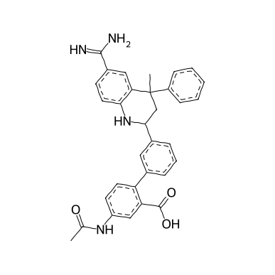 CC(=O)Nc1ccc(-c2cccc(C3CC(C)(c4ccccc4)c4cc(C(=N)N)ccc4N3)c2)c(C(=O)O)c1